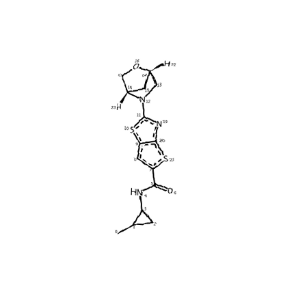 CC1CC1NC(=O)c1cc2sc(N3C[C@@H]4C[C@H]3CO4)nc2s1